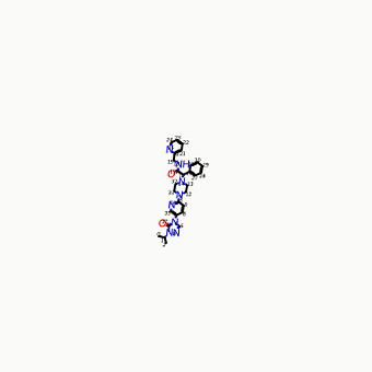 CC(C)n1ncn(-c2ccc(N3CCN(C(C(=O)NCc4ccccn4)c4ccccc4)CC3)nc2)c1=O